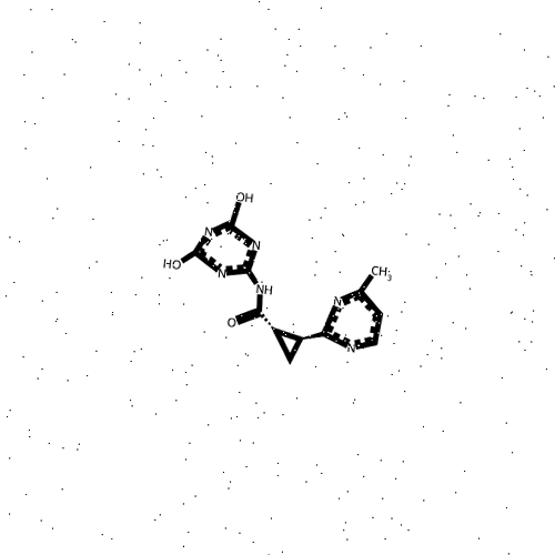 Cc1ccnc([C@H]2C[C@@H]2C(=O)Nc2nc(O)nc(O)n2)n1